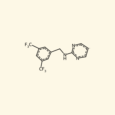 FC(F)(F)c1cc(CNc2nc[c]cn2)cc(C(F)(F)F)c1